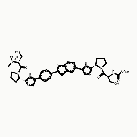 COC(=O)N[C@@H](CO)C(=O)N1CCC[C@H]1c1ncc(-c2ccc3oc(-c4ccc(-c5cnc([C@@H]6CCCN6C(=O)[C@H](CO)N(C)C(=O)O)[nH]5)cc4)cc3c2)[nH]1